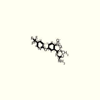 CSC(=NC(N)=O)c1cc(Oc2ccc(C(F)(F)F)cn2)ccc1[N+](=O)[O-]